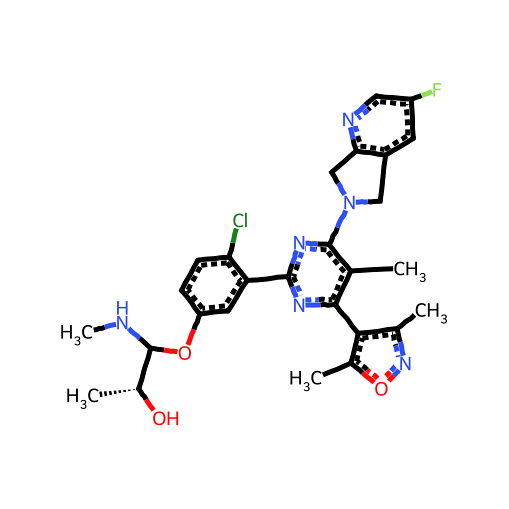 CNC(Oc1ccc(Cl)c(-c2nc(-c3c(C)noc3C)c(C)c(N3Cc4cc(F)cnc4C3)n2)c1)[C@@H](C)O